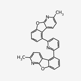 Cc1ccc2c(n1)oc1cccc(-c3cccc(-c4cccc5oc6nc(C)ccc6c45)n3)c12